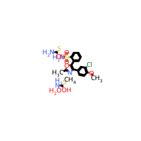 C.COc1ccc(-c2nc(C)oc2-c2ccccc2S(N)(=O)=O)cc1Cl.NC(O)=S.NC(O)=S.O